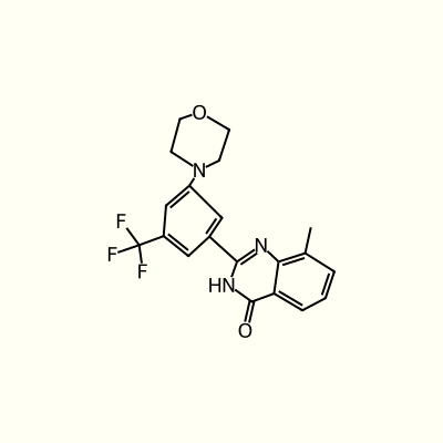 Cc1cccc2c(=O)[nH]c(-c3cc(N4CCOCC4)cc(C(F)(F)F)c3)nc12